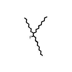 CCCCCCCCC[C](F)C(CCCCCCC)CCCCCCCCC